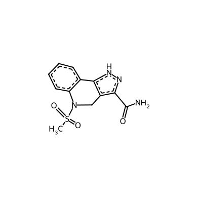 CS(=O)(=O)N1Cc2c(C(N)=O)n[nH]c2-c2ccccc21